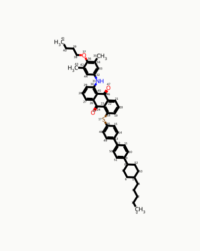 CCCCCC1CCC(c2ccc(-c3ccc(Sc4cccc5c4C(=O)c4cccc(Nc6cc(C)c(OCCCC)c(C)c6)c4C5=O)cc3)cc2)CC1